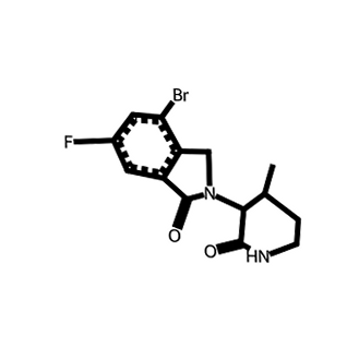 CC1CCNC(=O)C1N1Cc2c(Br)cc(F)cc2C1=O